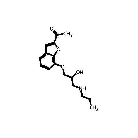 CCCNCC(O)COc1cccc2cc(C(C)=O)oc12